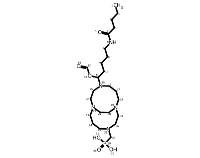 CCCCC(=O)NCCCCC(OC=O)N1CCCN2CCN(CCCN(CP(=O)(O)O)CC2)CC1